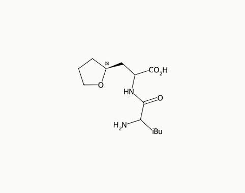 CCC(C)C(N)C(=O)NC(C[C@@H]1CCCO1)C(=O)O